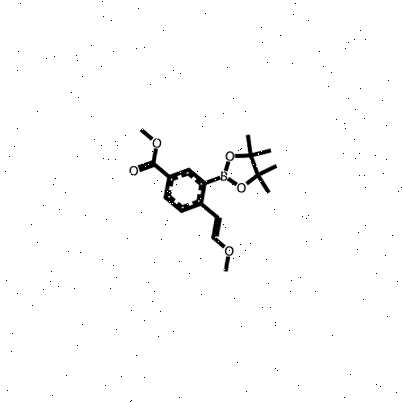 COC=Cc1ccc(C(=O)OC)cc1B1OC(C)(C)C(C)(C)O1